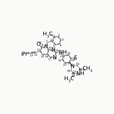 Cc1ccccc1Cn1c(=O)c(C#CC(C)C)cc2cnc(Nc3ccc(N4C[C@@H](C)N[C@@H](C)C4)c(F)c3)nc21